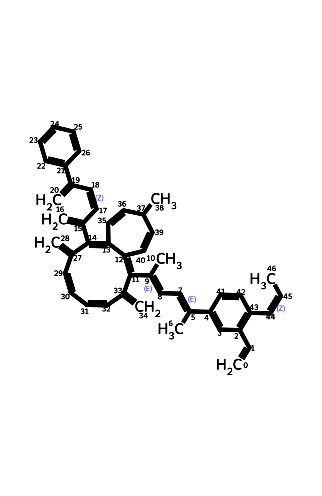 C=Cc1cc(/C(C)=C/C=C(\C)c2c3c(c(C(=C)/C=C\C(=C)c4ccccc4)c(=C)ccccc2=C)C=CC(C)C=C3)ccc1/C=C\C